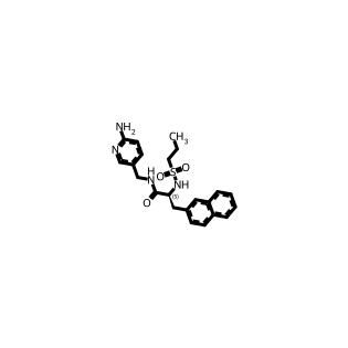 CCCS(=O)(=O)N[C@@H](Cc1ccc2ccccc2c1)C(=O)NCc1ccc(N)nc1